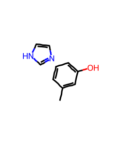 Cc1cccc(O)c1.c1c[nH]cn1